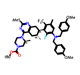 COc1ccc(CN(Cc2ccc(OC)cc2)c2cc(C)c(C(F)(F)F)c([C@@H]3Cc4nc(SC)nc(N5CCN(C(=O)OC(C)(C)C)C[C@@H]5C)c4C[C@H]3C)c2F)cc1